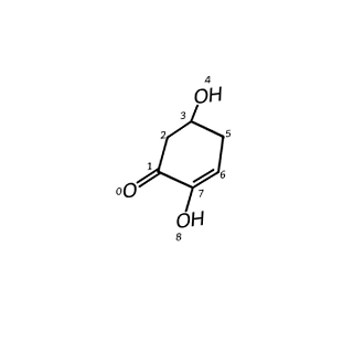 O=C1CC(O)CC=C1O